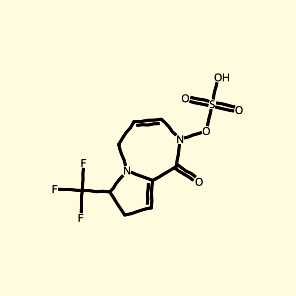 O=C1C2=CCC(C(F)(F)F)N2CC=CN1OS(=O)(=O)O